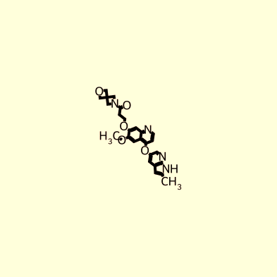 COc1cc2c(Oc3cnc4[nH]c(C)cc4c3)ccnc2cc1OCCC(=O)N1CC2(COC2)C1